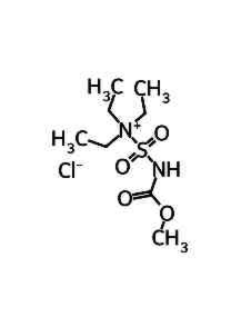 CC[N+](CC)(CC)S(=O)(=O)NC(=O)OC.[Cl-]